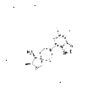 Cc1cn2cnnc2c(N2CCC3(CC2)CO[C@@H](C)[C@H]3N)n1